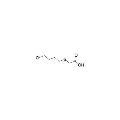 O=C(O)CSCCCCCl